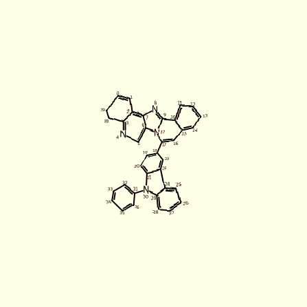 C1=Cc2c(ncc3c2nc2c4ccccc4cc(-c4ccc5c(c4)c4ccccc4n5-c4ccccc4)n32)CC1